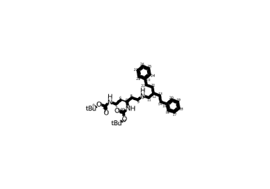 CC(C)(C)OC(=O)NCC[C@@H](CCNCC(CCc1ccccc1)CCc1ccccc1)NC(=O)OC(C)(C)C